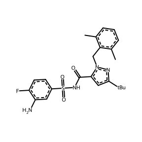 Cc1cccc(C)c1Cn1nc(C(C)(C)C)cc1C(=O)NS(=O)(=O)c1ccc(F)c(N)c1